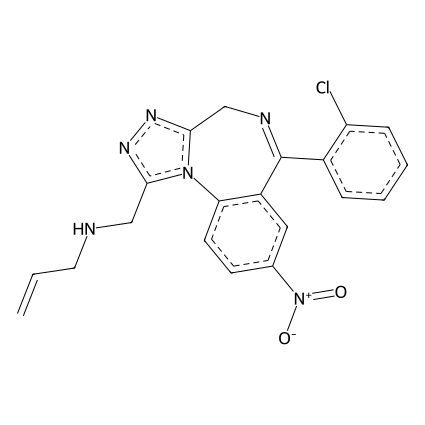 C=CCNCc1nnc2n1-c1ccc([N+](=O)[O-])cc1C(c1ccccc1Cl)=NC2